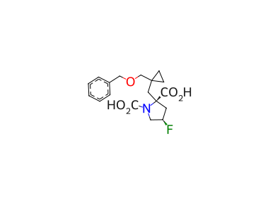 O=C(O)N1C[C@H](F)C[C@]1(CC1(COCc2ccccc2)CC1)C(=O)O